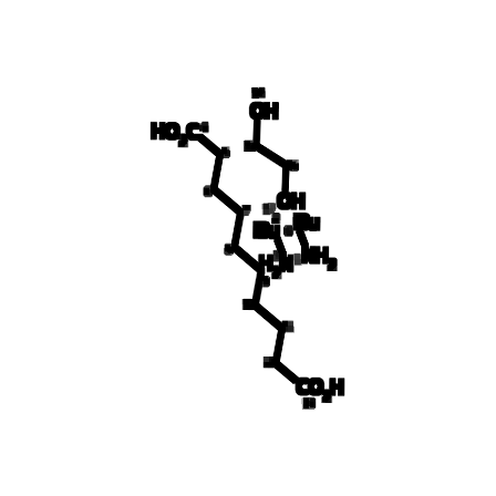 CCC(C)N.CCC(C)N.O=C(O)CCCCCCCCC(=O)O.OCCO